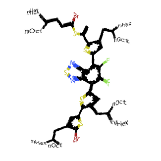 C=C(S/C(Br)=C/CC(CCCCCC)CCCCCCCC)c1sc(-c2c(F)c(F)c(-c3cc(CC(CCCCCC)CCCCCCCC)c(-c4cc(CC(CCCCCC)CCCCCCCC)c(Br)s4)s3)c3nsnc23)cc1CC(CCCCCC)CCCCCCCC